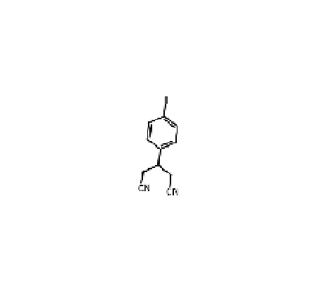 N#CCC(CC#N)c1ccc(I)cc1